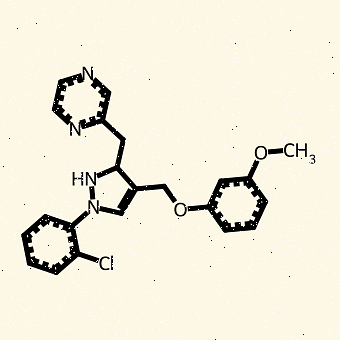 COc1cccc(OCC2=CN(c3ccccc3Cl)NC2Cc2cnccn2)c1